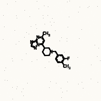 Cc1cc(C2CCCN(Cc3ccc(C)c(F)c3)C2)n2ncnc2n1